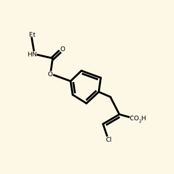 CCNC(=O)Oc1ccc(CC(=CCl)C(=O)O)cc1